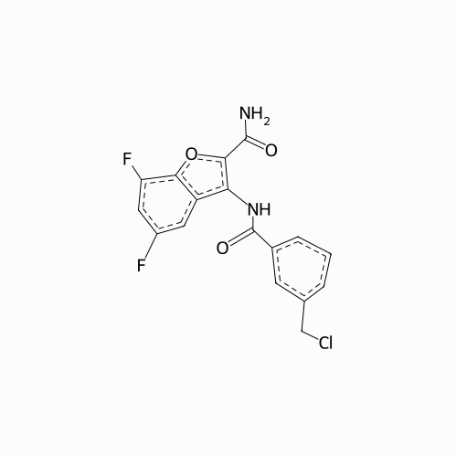 NC(=O)c1oc2c(F)cc(F)cc2c1NC(=O)c1cccc(CCl)c1